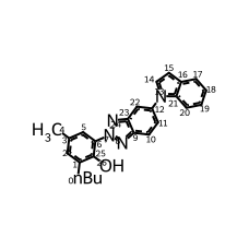 CCCCc1cc(C)cc(-n2nc3ccc(-n4ccc5ccccc54)cc3n2)c1O